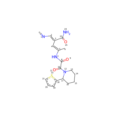 C=N/C=C(\C=C(/C)NC(=O)C(=O)N1CCCCC1c1cccs1)C(N)=O